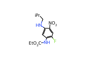 CCOC(=O)Nc1cc(NCC(C)C)c([N+](=O)[O-])cc1F